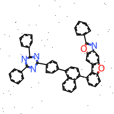 c1ccc(-c2nc(-c3ccccc3)nc(-c3ccc(-c4ccc(-c5cccc6oc7cc8nc(-c9ccccc9)oc8cc7c56)c5ccccc45)cc3)n2)cc1